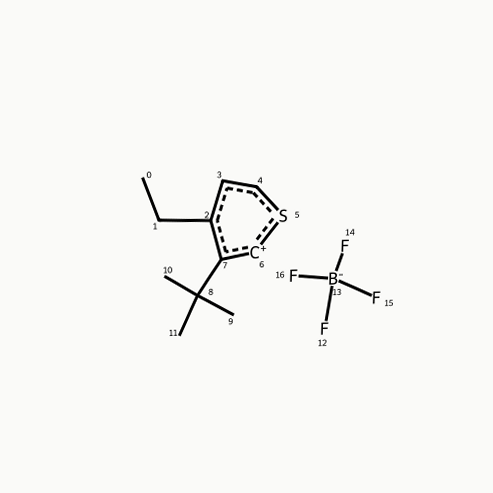 CCc1ccs[cH+]c1C(C)(C)C.F[B-](F)(F)F